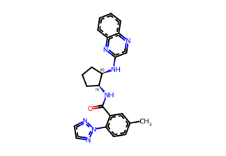 Cc1ccc(-n2nccn2)c(C(=O)N[C@H]2CCC[C@H]2Nc2cnc3ccccc3n2)c1